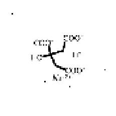 O=C([O-])CC(O)(CC(=O)[O-])C(=O)[O-].[Li+].[Mn+2]